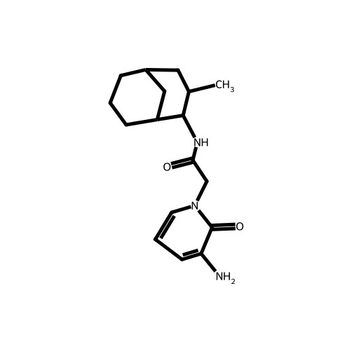 CC1CC2CCCC(C2)C1NC(=O)Cn1cccc(N)c1=O